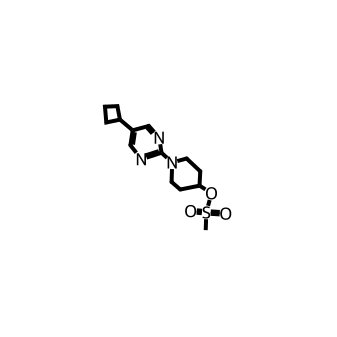 CS(=O)(=O)OC1CCN(c2ncc(C3CCC3)cn2)CC1